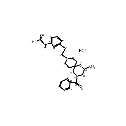 CC(=O)Nc1cccc(CCN2CCC3(CC2)CN(C(=O)c2ccccc2)CC(C)O3)c1.Cl